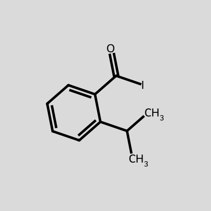 CC(C)c1ccccc1C(=O)I